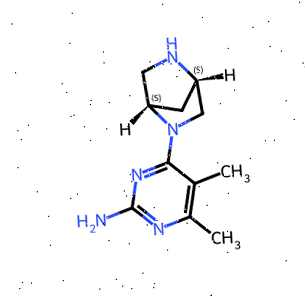 Cc1nc(N)nc(N2C[C@@H]3C[C@H]2CN3)c1C